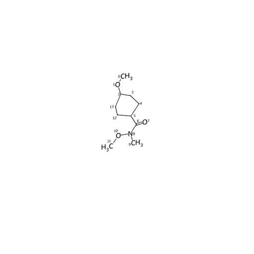 COC1CCC(C(=O)N(C)OC)CC1